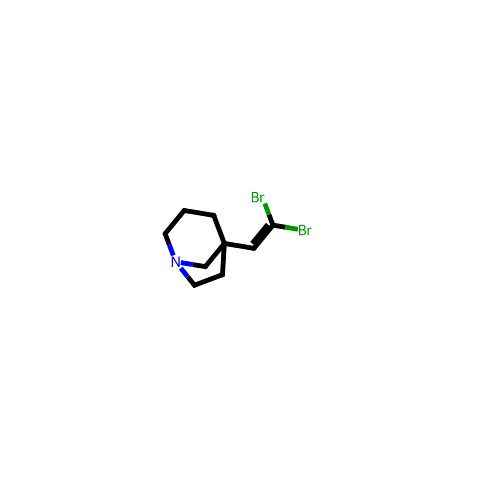 BrC(Br)=CC12CCCN(CC1)C2